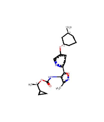 Cc1noc(-c2ccc(O[C@H]3CCC[C@H](C(=O)O)C3)cn2)c1NC(=O)O[C@H](C)C1CC1